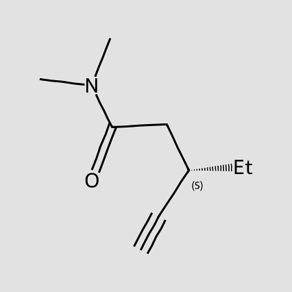 C#C[C@@H](CC)CC(=O)N(C)C